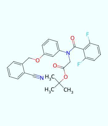 CC(C)(C)OC(=O)CN(C(=O)c1c(F)cccc1F)c1cccc(OCc2ccccc2C#N)c1